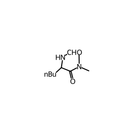 CCCCC(NC=O)C(=O)N(C)C